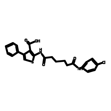 O=C(CCCCC(=O)Nc1scc(-c2ccccc2)c1C(=O)O)Nc1ccc(Cl)cc1